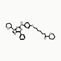 O=C(CCCCCCOc1ccc(Nc2nc(-c3ccccc3)c3ncn(C4CCCCO4)c3n2)cc1)C1CCCCO1